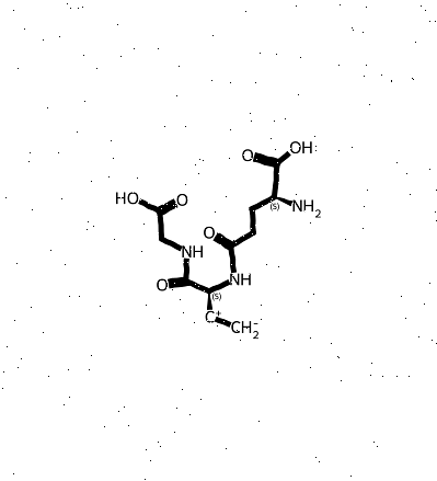 [CH2-][CH+][C@H](NC(=O)CC[C@H](N)C(=O)O)C(=O)NCC(=O)O